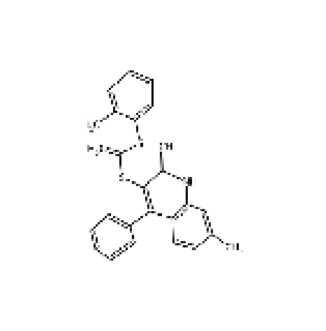 C=C(SC1=C(c2ccccc2)c2ccc(C)cc2NC1=C)Sc1ccccc1C